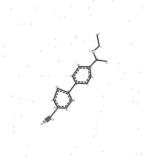 CCOC(C)c1ccc(-c2ccc(C#N)cc2)cc1